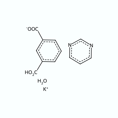 O.O=C([O-])c1cccc(C(=O)O)c1.[K+].c1cncnc1